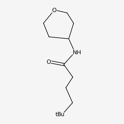 CC(C)(C)CCCC(=O)NC1CCOCC1